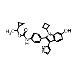 CC(OC(=O)Nc1ccc(-c2c(-c3ccno3)c3ccc(O)cc3n2C2CCC2)cc1)C1CC1